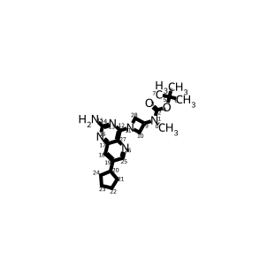 CN(C(=O)OC(C)(C)C)C1CN(c2nc(N)nc3cc(C4CCCC4)cnc23)C1